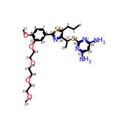 CCCc1sc(-c2ccc(OC)c(OCCOCCOCCOC)c2)nc1C(C)Sc1nc(N)cc(N)n1